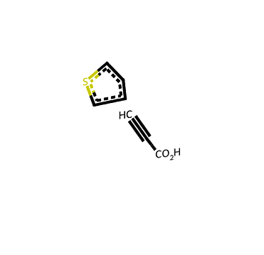 C#CC(=O)O.c1ccsc1